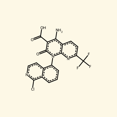 Nc1c(C(=O)O)c(=O)n(-c2cccc3c(Cl)nccc23)c2nc(C(F)(F)F)ccc12